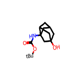 CC(C)(C)OC(=O)NC12CC3CC1CC(O)(C3)C2